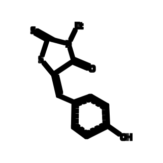 CCN1C(=O)/C(=C\c2ccc(O)cc2)SC1=S